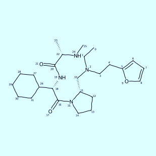 CCN(CCc1ccco1)C[C@@H]1CCCN1C(=O)[C@@H](NC(=O)[C@H](C)NC)C1CCCCC1